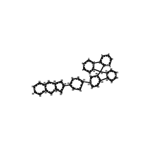 c1ccc2c(c1)-c1ccccc1C21c2ccccc2-c2ccc(-c3ccc(-c4cc5cc6ccccc6cn5n4)cc3)cc21